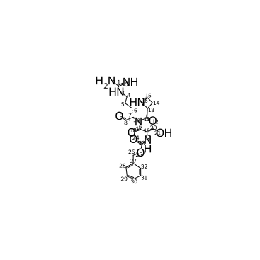 N=C(N)NCCC[C@@H]([C]=O)N(C(=O)[C@@H]1CCN1)C(=O)[C@@H](CO)NC(=O)OCc1ccccc1